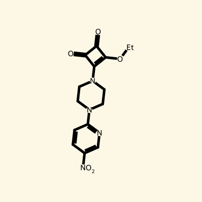 CCOc1c(N2CCN(c3ccc([N+](=O)[O-])cn3)CC2)c(=O)c1=O